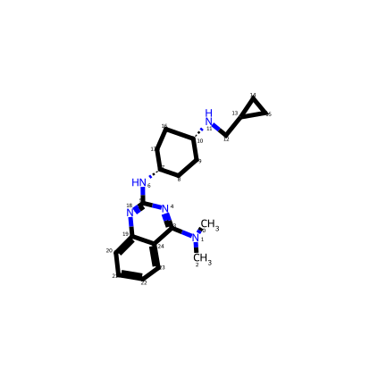 CN(C)c1nc(N[C@H]2CC[C@@H](NCC3CC3)CC2)nc2ccccc12